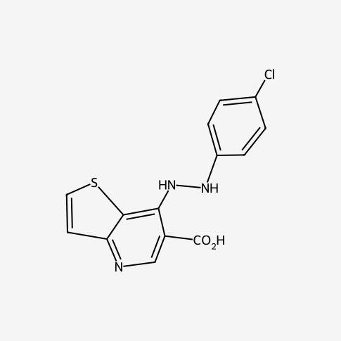 O=C(O)c1cnc2ccsc2c1NNc1ccc(Cl)cc1